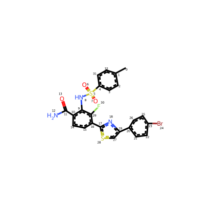 Cc1ccc(S(=O)(=O)Nc2c(C(N)=O)ccc(-c3nc(-c4ccc(Br)cc4)cs3)c2F)cc1